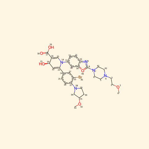 COCCN1CCN(c2nc3ccc(N4C=C(C(=O)O)[C@H](O)C=C4c4ccc(N5CCC(OC)C5)c(Br)c4)cc3o2)CC1